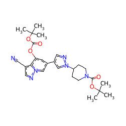 CC(C)(C)OC(=O)Oc1cc(-c2cnn(C3CCN(C(=O)OC(C)(C)C)CC3)c2)cn2ncc(C#N)c12